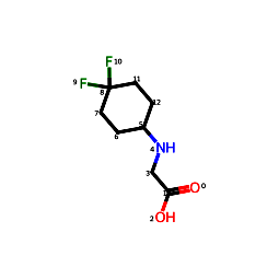 O=C(O)CNC1CCC(F)(F)CC1